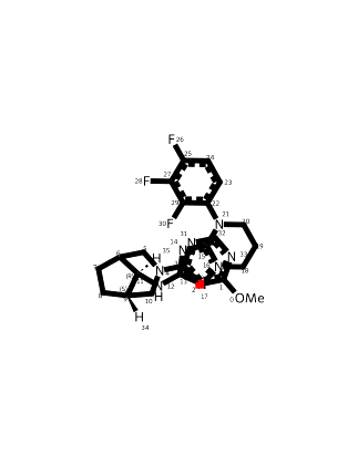 COc1cc(N2CC3CC[C@@H](C2)[C@@H]3Nc2nc3n(n2)CCCN3c2ccc(F)c(F)c2F)ncn1